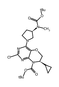 CN(C(=O)OC(C)(C)C)[C@@H]1CCN(c2nc(Cl)nc3c2OC[C@@H](C2CC2)N3C(=O)OC(C)(C)C)C1